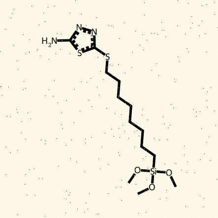 CO[Si](CCCCCCCCSc1nnc(N)s1)(OC)OC